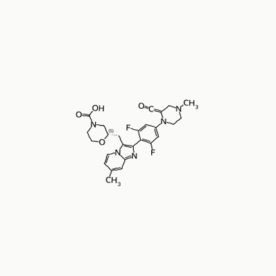 Cc1ccn2c(C[C@H]3CN(C(=O)O)CCO3)c(-c3c(F)cc(N4CCN(C)CC4=C=O)cc3F)nc2c1